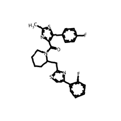 Cc1nc(C(=O)N2CCCCC2Cc2nc(-c3ccccc3F)cs2)c(-c2ccc(F)cc2)s1